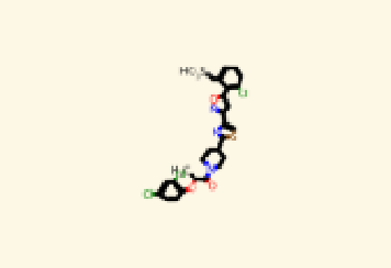 CC(Oc1ccc(Cl)cc1Cl)C(=O)N1CCC(c2nc(C3=NOC(c4c(Cl)cccc4CS(=O)(=O)O)C3)cs2)CC1